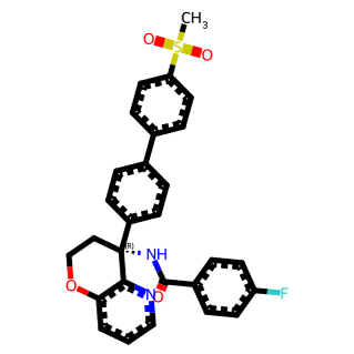 CS(=O)(=O)c1ccc(-c2ccc([C@]3(NC(=O)c4ccc(F)cc4)CCOc4cccnc43)cc2)cc1